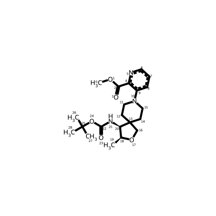 COC(=O)c1ncccc1N1CCC2(CC1)CO[C@@H](C)[C@H]2NC(=O)OC(C)(C)C